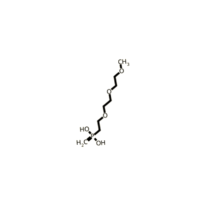 C=P(O)(O)CCOCCOCCOC